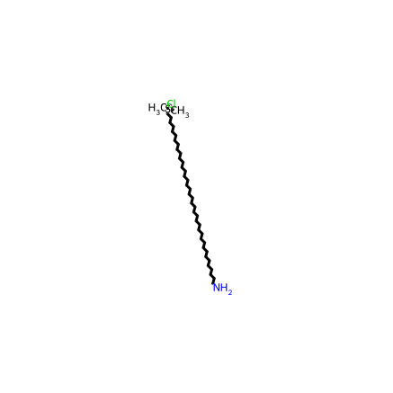 C[Si](C)(Cl)CCCCCCCCCCCCCCCCCCCCCCCCCCCCCCCCCCCCCCCN